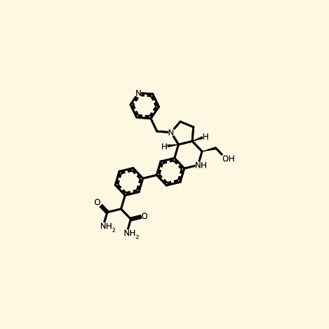 NC(=O)C(C(N)=O)c1cccc(-c2ccc3c(c2)[C@H]2[C@H](CCN2Cc2ccncc2)[C@@H](CO)N3)c1